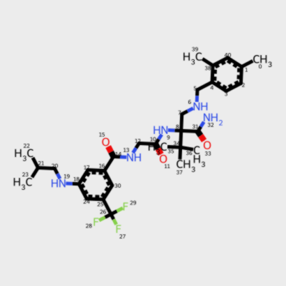 Cc1ccc(CNCC(NC(=O)CNC(=O)c2cc(NCC(C)C)cc(C(F)(F)F)c2)(C(N)=O)C(C)(C)C)c(C)c1